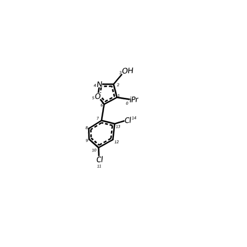 CC(C)c1c(O)noc1-c1ccc(Cl)cc1Cl